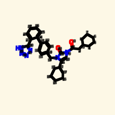 O=C(CC1CCCCC1)n1cc(C2CCCCC2)n(Cc2ccc(-c3ccccc3-c3nnn[nH]3)cc2)c1=O